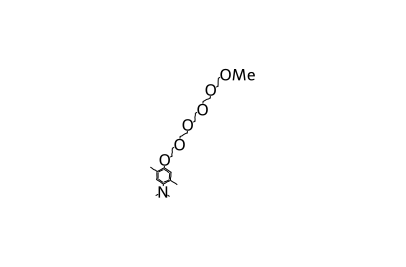 COCCOCCOCCOCCOCCOc1cc(C)c(N(C)C)cc1C